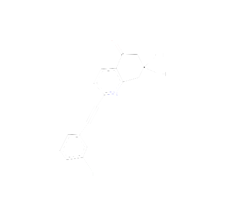 CC1(C)CC(=O)c2ccc(C#Cc3cccc(F)c3)nc2C1